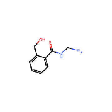 NCNC(=O)c1ccccc1CO